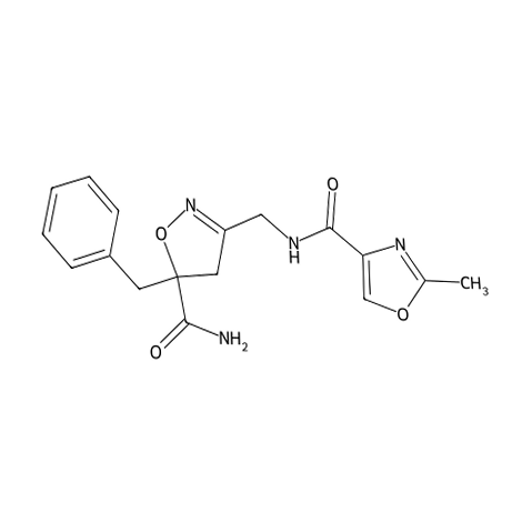 Cc1nc(C(=O)NCC2=NOC(Cc3ccccc3)(C(N)=O)C2)co1